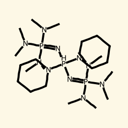 CN(C)P(=N[PH](N=P(N(C)C)(N(C)C)N(C)C)(N1CCCCC1)N1CCCCC1)(N(C)C)N(C)C